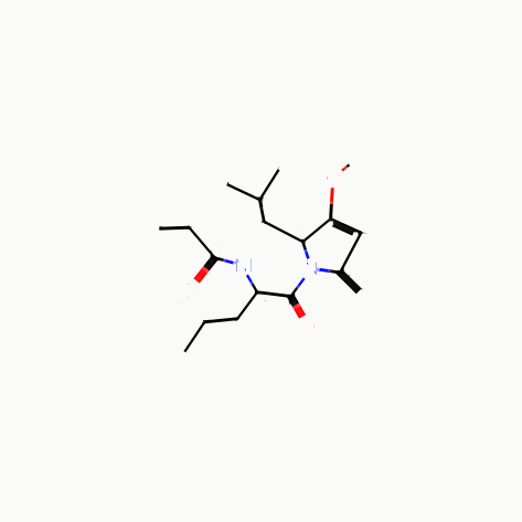 C=C1C=C(OC)C(CC(C)C)N1C(=O)C(CCC)NC(=O)CC